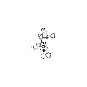 CC(C)(CNC1CCCc2ccccc21)NC(=O)c1cnn2c1N[C@@H](c1ccccc1)C[C@H]2C(F)(F)F